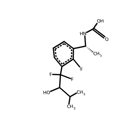 CC(C)C(O)C(F)(F)c1cccc([C@@H](C)NC(=O)O)c1F